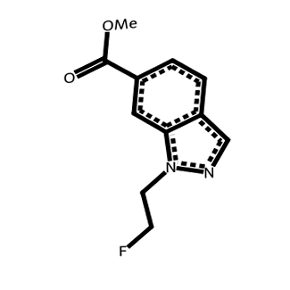 COC(=O)c1ccc2cnn(CCF)c2c1